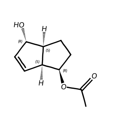 CC(=O)O[C@@H]1CC[C@H]2[C@@H]1C=C[C@@H]2O